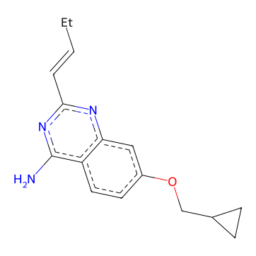 CCC=Cc1nc(N)c2ccc(OCC3CC3)cc2n1